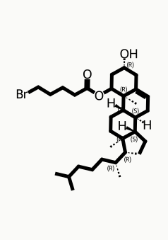 CC(C)CCC[C@@H](C)[C@H]1CC[C@H]2[C@@H]3CC=C4C[C@@H](O)CC(OC(=O)CCCCBr)[C@]4(C)[C@H]3CC[C@]12C